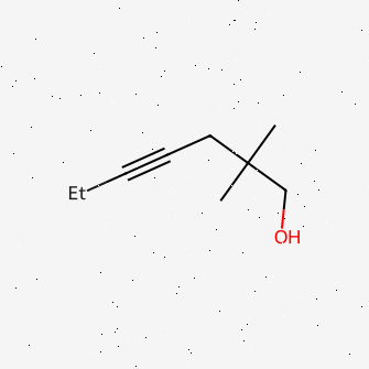 CCC#CCC(C)(C)CO